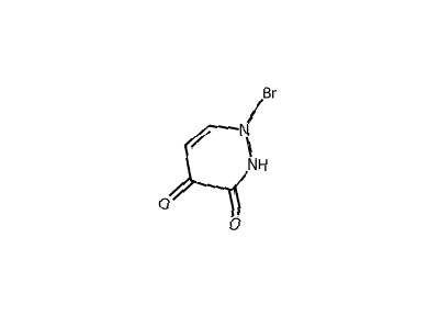 O=c1ccn(Br)[nH]c1=O